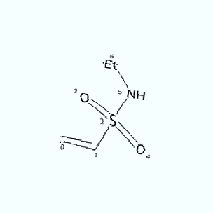 C=CS(=O)(=O)N[CH]C